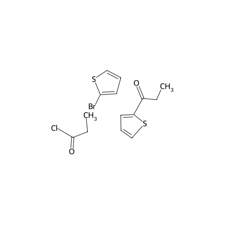 Brc1cccs1.CCC(=O)Cl.CCC(=O)c1cccs1